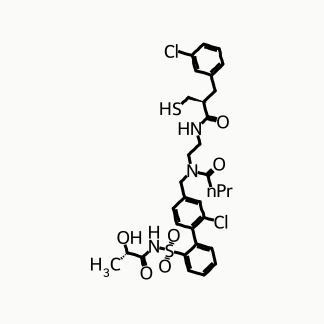 CCCC(=O)N(CCNC(=O)[C@@H](CS)Cc1cccc(Cl)c1)Cc1ccc(-c2ccccc2S(=O)(=O)NC(=O)[C@H](C)O)c(Cl)c1